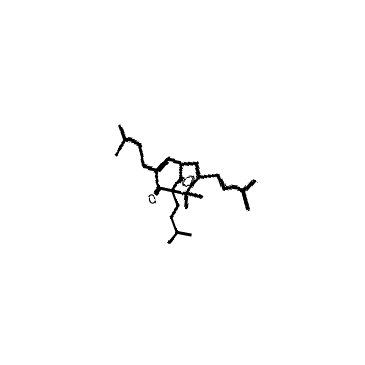 CC(C)CCC1=CC2CC(CCC(C)C)C(C)(C)C(CCC(C)C)(C1=O)C2=O